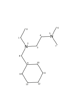 CCN(CCN(C)C)CC1CCCCC1